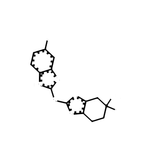 CC1(C)CCc2nc(Nc3nc4cc(C(=O)O)ccc4[nH]3)sc2C1